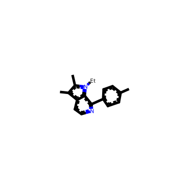 CCn1c(C)c(C)c2ccnc(-c3ccc(C)cc3)c21